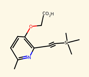 Cc1ccc(OCC(=O)O)c(C#C[Si](C)(C)C)n1